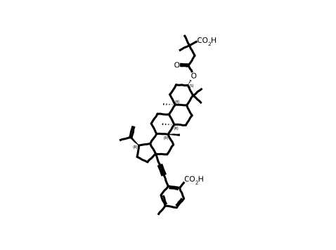 C=C(C)[C@@H]1CCC2(C#Cc3cc(C)ccc3C(=O)O)CC[C@]3(C)C(CCC4[C@@]5(C)CC[C@H](OC(=O)CC(C)(C)C(=O)O)C(C)(C)C5CC[C@]43C)C12